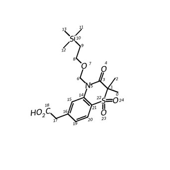 CC1(C)C(=O)N(COCC[Si](C)(C)C)c2cc(CC(=O)O)ccc2S1(=O)=O